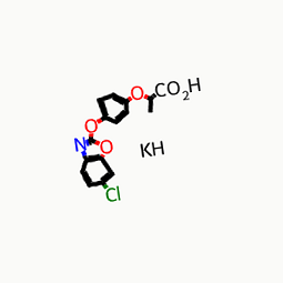 CC(Oc1ccc(Oc2nc3ccc(Cl)cc3o2)cc1)C(=O)O.[KH]